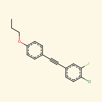 CCCOc1ccc(C#Cc2ccc(Cl)c(F)c2)cc1